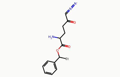 CCC(OC(=O)C(N)CCC(=O)C=[N+]=[N-])c1ccccc1